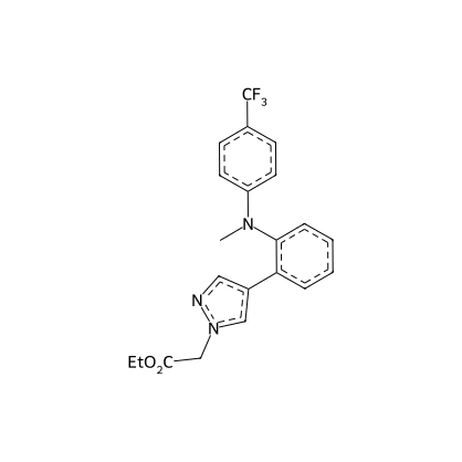 CCOC(=O)Cn1cc(-c2ccccc2N(C)c2ccc(C(F)(F)F)cc2)cn1